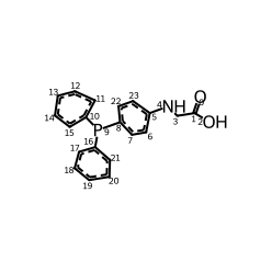 O=C(O)CNc1ccc(P(c2ccccc2)c2ccccc2)cc1